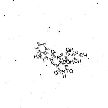 O=c1[nH]c(=O)c2nc(-c3c[nH]c4ccccc34)c(=O)n(CC(O)C(O)C(O)CO)c2[nH]1